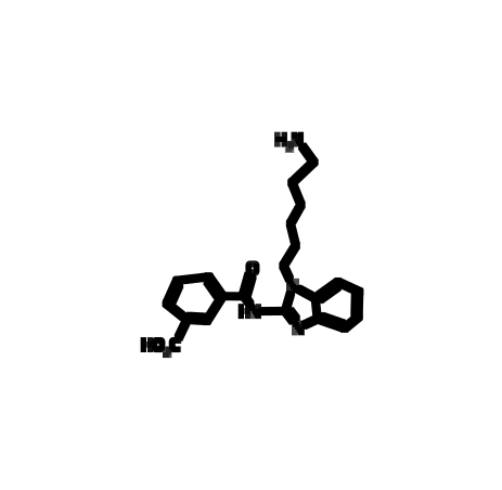 NCCCCCCn1c(NC(=O)c2cccc(C(=O)O)c2)nc2ccccc21